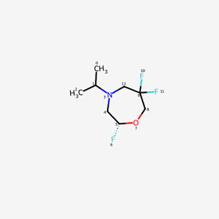 CC(C)N1C[C@@H](F)OCC(F)(F)C1